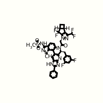 Cn1nc(NS(C)(=O)=O)c2cccc(-c3cc4[nH]c(-c5ccccc5)nc4nc3[C@H](Cc3cc(F)cc(F)c3)NC(=O)Cn3nc(C(F)F)c4c3C(F)(F)[C@@H]3CC[C@H]43)c21